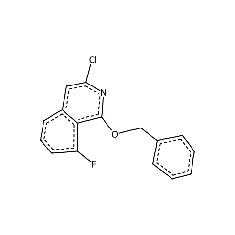 Fc1cccc2cc(Cl)nc(OCc3ccccc3)c12